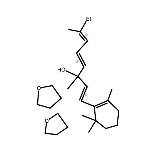 C1CCOC1.C1CCOC1.CC/C(C)=C/C=C/C(C)(O)/C=C/C1=C(C)CCCC1(C)C